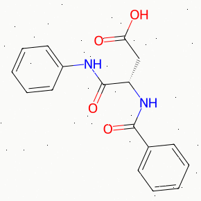 O=C(O)C[C@H](NC(=O)c1ccccc1)C(=O)Nc1ccccc1